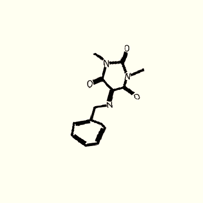 CN1C(=O)C(=NCc2ccccc2)C(=O)N(C)C1=O